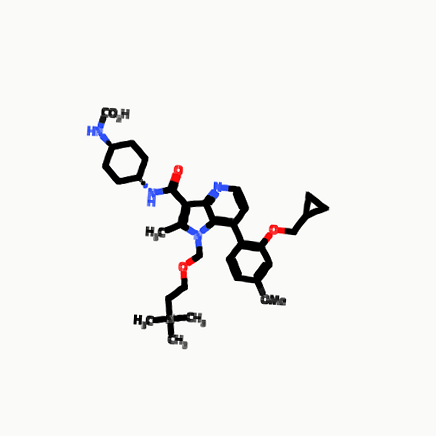 COc1ccc(-c2ccnc3c(C(=O)N[C@H]4CC[C@H](NC(=O)O)CC4)c(C)n(COCC[Si](C)(C)C)c23)c(OCC2CC2)c1